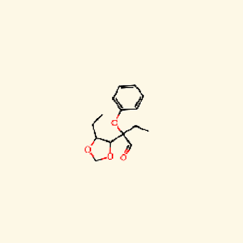 CCC1OCOC1C(C=O)(CC)Oc1ccccc1